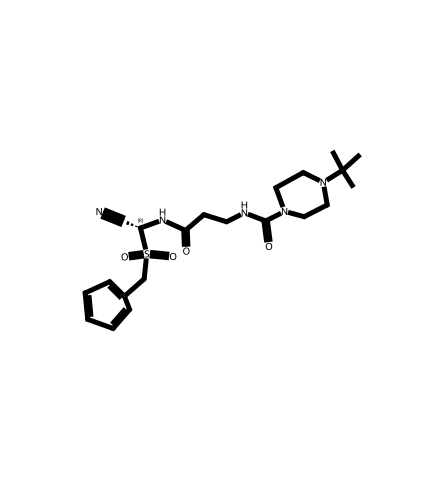 CC(C)(C)N1CCN(C(=O)NCCC(=O)N[C@@H](C#N)S(=O)(=O)Cc2ccccc2)CC1